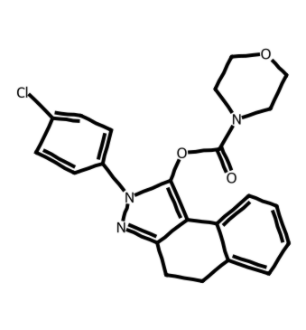 O=C(Oc1c2c(nn1-c1ccc(Cl)cc1)CCc1ccccc1-2)N1CCOCC1